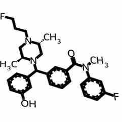 C[C@@H]1CN(C(c2cccc(O)c2)c2cccc(C(=O)N(C)c3cccc(F)c3)c2)[C@@H](C)CN1CCCF